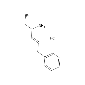 CC(C)CC(N)C=CCc1ccccc1.Cl